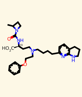 CC1CCN1C(=O)N[C@@H](CCN(CCCCc1ccc2c(n1)NCCC2)CCOc1ccccc1)C(=O)O